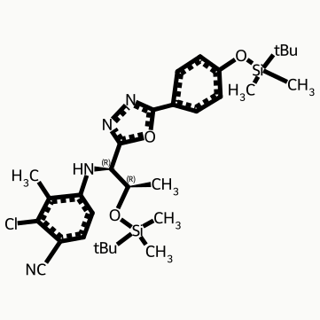 Cc1c(N[C@@H](c2nnc(-c3ccc(O[Si](C)(C)C(C)(C)C)cc3)o2)[C@@H](C)O[Si](C)(C)C(C)(C)C)ccc(C#N)c1Cl